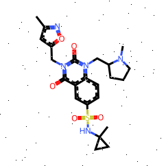 Cc1cc(Cn2c(=O)c3cc(S(=O)(=O)NC4(C)CC4)ccc3n(CC3CCCN3C)c2=O)on1